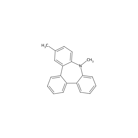 Cc1ccc2c(c1)-c1ccccc1-c1ccccc1N2C